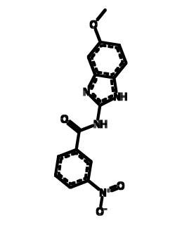 COc1ccc2[nH]c(NC(=O)c3cccc([N+](=O)[O-])c3)nc2c1